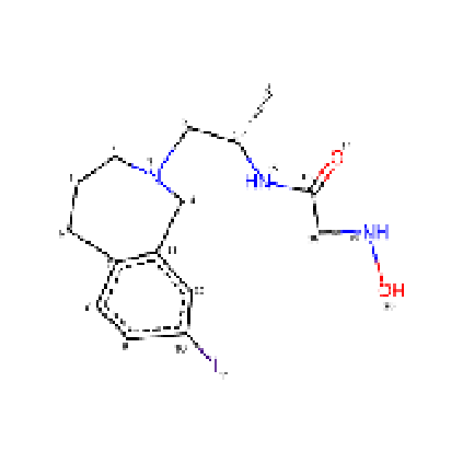 C[C@@H](CN1CCCc2ccc(I)cc2C1)NC(=O)CNO